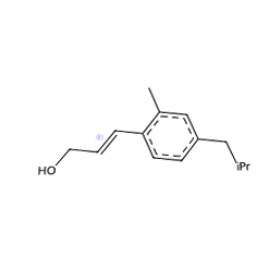 Cc1cc(CC(C)C)ccc1/C=C/CO